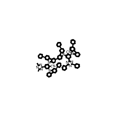 Cc1nc(C)nc(-c2cc(-n3c4ccccc4c4ccc(-c5ccccc5)cc43)c(C#N)c(-n3c4ccc(-c5ccc6c(c5)c5cc(-c7ccccc7)ccc5n6-c5cc(-c6nc(-c7ccccc7)nc(-c7ccccc7)n6)cc(-n6c7ccccc7c7cc(-c8ccccc8)ccc76)c5C#N)cc4c4ccc(-c5ccccc5)cc43)c2)n1